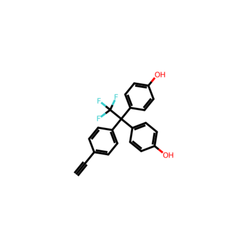 C#Cc1ccc(C(c2ccc(O)cc2)(c2ccc(O)cc2)C(F)(F)F)cc1